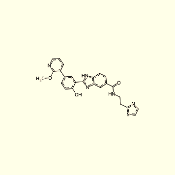 COc1ncccc1-c1ccc(O)c(-c2nc3cc(C(=O)NCCc4nccs4)ccc3[nH]2)c1